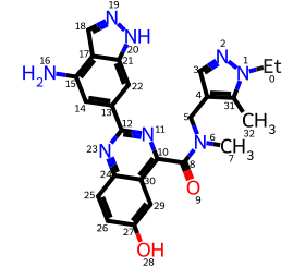 CCn1ncc(CN(C)C(=O)c2nc(-c3cc(N)c4cn[nH]c4c3)nc3ccc(O)cc23)c1C